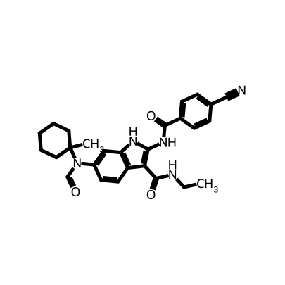 CCNC(=O)c1c(NC(=O)c2ccc(C#N)cc2)[nH]c2cc(N(C=O)C3(C)CCCCC3)ccc12